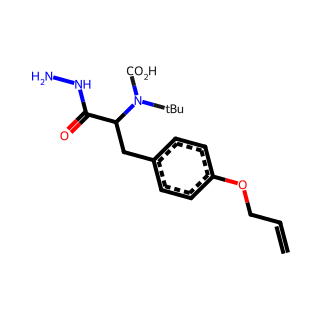 C=CCOc1ccc(CC(C(=O)NN)N(C(=O)O)C(C)(C)C)cc1